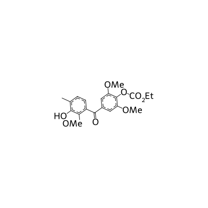 CCOC(=O)Oc1c(OC)cc(C(=O)c2ccc(C)c(O)c2OC)cc1OC